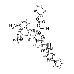 CC(OC(=O)OC1CCCCC1)OC(=O)[C@@H](Cc1cc2ccnc(N)c2cc1OC(F)(F)F)N1CC[C@H](NS(=O)(=O)c2cnc(N3CCCC3)s2)C1=O